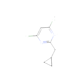 Clc1cc(Cl)nc(CC2CC2)n1